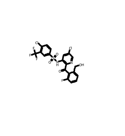 O=C(c1ncc(Cl)cc1NS(=O)(=O)c1ccc(Cl)c(C(F)(F)F)c1)c1c(F)cccc1CO